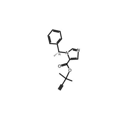 C#CC(C)(C)OC(=O)c1cncn1[C@H](C)c1ccccc1